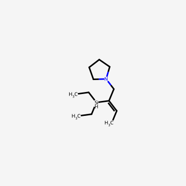 CC=C(CN1CCCC1)[SiH](CC)CC